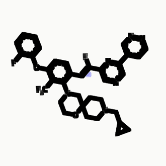 F/C(=C\c1ccc(Oc2ccccc2F)c(C(F)(F)F)c1N1CCOC2(CCN(CC3CC3)CC2)C1)c1cncc(-c2ccnnc2)n1